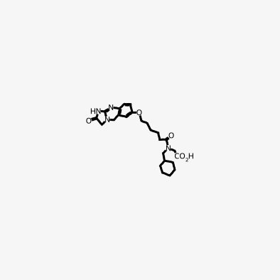 O=C(O)CN(CC1CCCCC1)C(=O)CCCCCOc1ccc2c(c1)CN1CC(=O)NC1=N2